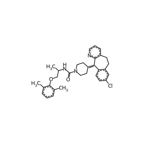 Cc1cccc(C)c1OCC(C)NC(=O)N1CCC(=C2c3ccc(Cl)cc3CCc3cccnc32)CC1